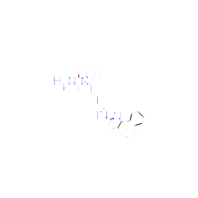 C[N+](C)(CCCCCNc1nc2c(s1)CCSc1ccccc1-2)C(N)=O